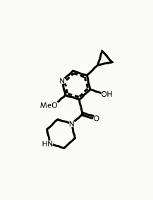 COc1ncc(C2CC2)c(O)c1C(=O)N1CCNCC1